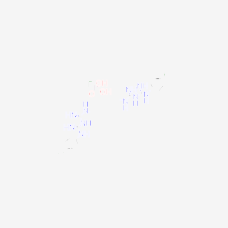 N=C(NCCCCCCNC(=N)NC(=N)Nc1ccc(Cl)cc1)NC(=N)Nc1ccc(Cl)cc1.O=P(O)(O)F